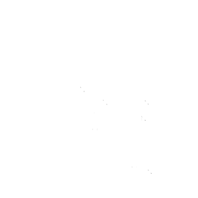 Cc1oncc1Cn1cc(N2C(=O)CN(CCc3ccccc3F)C2=O)cn1